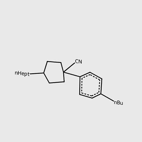 CCCCCCCC1CCC(C#N)(c2ccc(CCCC)cc2)CC1